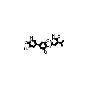 CC(C)c1cc(Oc2c(Cl)cc(-c3c[nH]c(=O)c(O)c3)cc2Cl)n[nH]c1=O